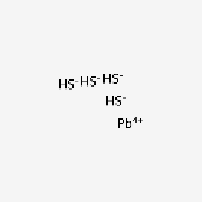 [Pb+4].[SH-].[SH-].[SH-].[SH-]